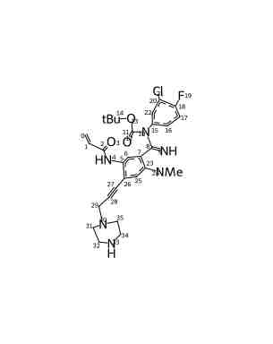 C=CC(=O)Nc1cc(C(=N)N(C(=O)OC(C)(C)C)c2ccc(F)c(Cl)c2)c(NC)cc1C#CCN1CCNCC1